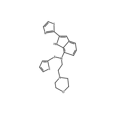 c1csc(SN(CCN2CCOCC2)c2cccc3cc(-c4nccs4)[nH]c23)c1